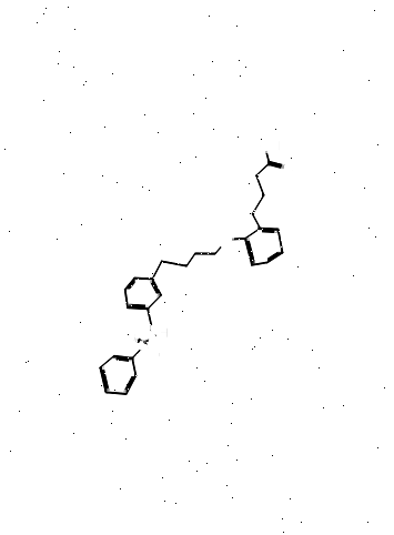 O=C(O)CCCc1ccccc1OCCCCc1cccc(NS(=O)(=O)c2ccccc2)c1